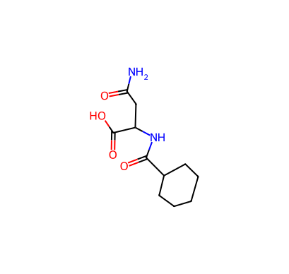 NC(=O)CC(NC(=O)C1CCCCC1)C(=O)O